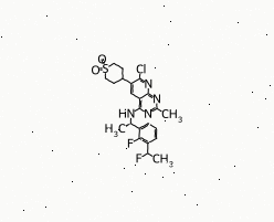 Cc1nc(N[C@H](C)c2cccc(C(C)F)c2F)c2cc(C3CCS(=O)(=O)CC3)c(Cl)nc2n1